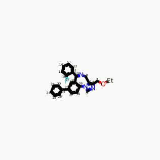 CCOCc1ncn2c1CN=C(c1ccccc1F)c1cc(-c3ccccc3)ccc1-2